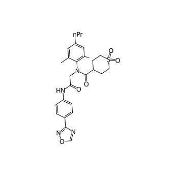 CCCc1cc(C)c(N(CC(=O)Nc2ccc(-c3ncon3)cc2)C(=O)C2CCS(=O)(=O)CC2)c(C)c1